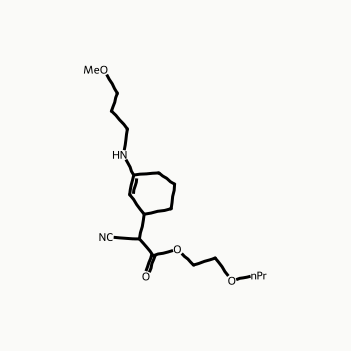 CCCOCCOC(=O)C(C#N)C1C=C(NCCCOC)CCC1